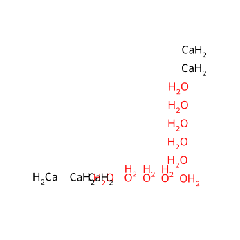 O.O.O.O.O.O.O.O.O.O.[CaH2].[CaH2].[CaH2].[CaH2].[CaH2]